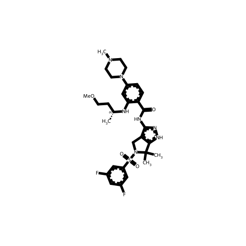 COCC[C@@H](C)Nc1cc(N2CCN(C)CC2)ccc1C(=O)Nc1n[nH]c2c1CN(S(=O)(=O)c1cc(F)cc(F)c1)C2(C)C